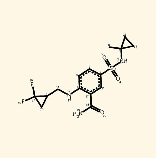 CC1(NS(=O)(=O)c2ccc(NCC3CC3(F)F)c(C(N)=O)c2)CC1